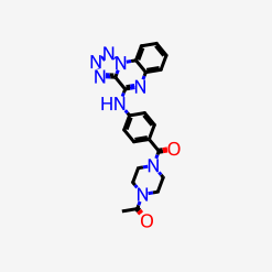 CC(=O)N1CCN(C(=O)c2ccc(Nc3nc4ccccc4n4nnnc34)cc2)CC1